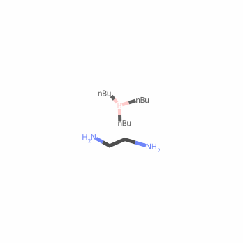 CCCCB(CCCC)CCCC.NCCN